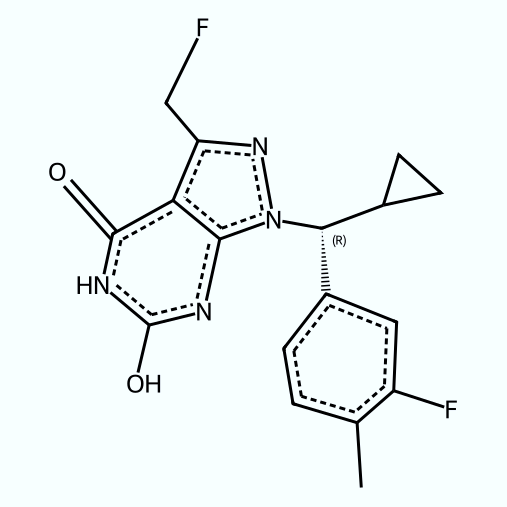 Cc1ccc([C@@H](C2CC2)n2nc(CF)c3c(=O)[nH]c(O)nc32)cc1F